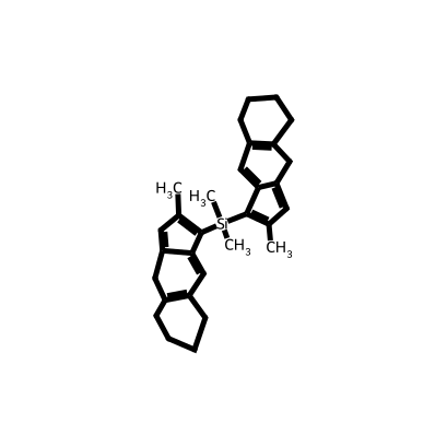 CC1=C([Si](C)(C)C2=C(C)C=C3CC4=C(C=C32)CCCC4)C2=CC3=C(CCCC3)CC2=C1